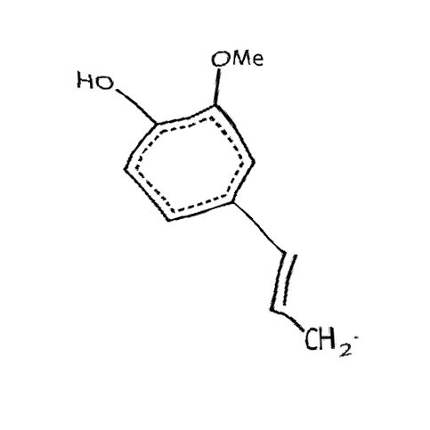 [CH2]C=Cc1ccc(O)c(OC)c1